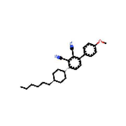 CCCCCC[C@H]1CC[C@H](c2ccc(-c3ccc(OC)cc3)c(C#N)c2C#N)CC1